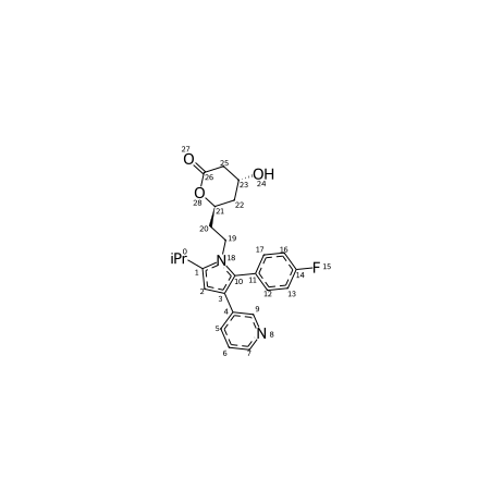 CC(C)c1cc(-c2cccnc2)c(-c2ccc(F)cc2)n1CC[C@@H]1C[C@@H](O)CC(=O)O1